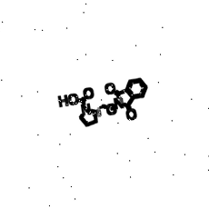 O=C1c2ccccc2C(=O)N1OC[C@@H]1CCCN1C(=O)O